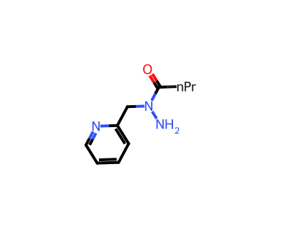 CCCC(=O)N(N)Cc1ccccn1